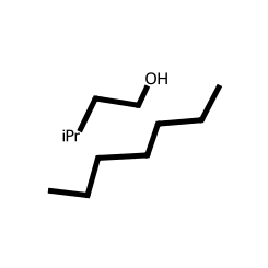 CC(C)CCO.CCCCCCC